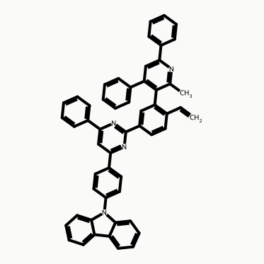 C=Cc1ccc(-c2nc(-c3ccccc3)cc(-c3ccc(-n4c5ccccc5c5ccccc54)cc3)n2)cc1-c1c(-c2ccccc2)cc(-c2ccccc2)nc1C